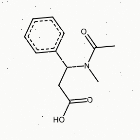 CC(=O)N(C)C(CC(=O)O)c1ccccc1